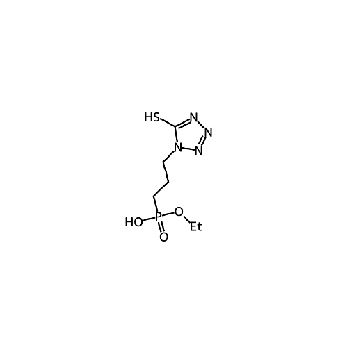 CCOP(=O)(O)CCCn1nnnc1S